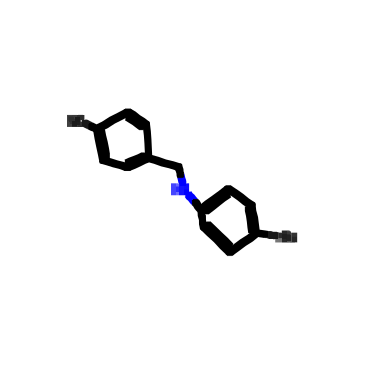 CCCCc1ccc(NCc2ccc(C#N)cc2)cc1